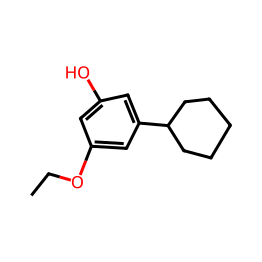 CCOc1cc(O)cc(C2CCCCC2)c1